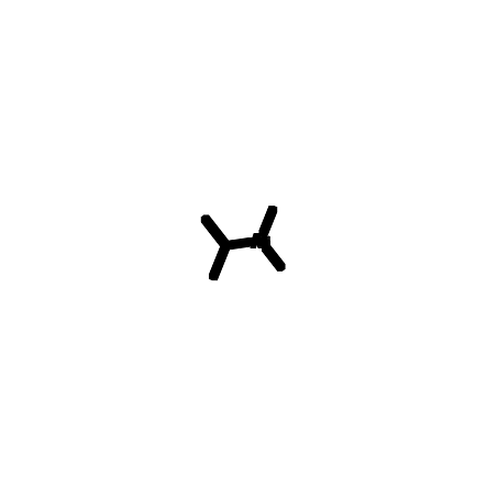 CC(C)[As](C)C